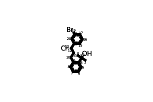 CC(C)(O)c1ccccc1CC[C@H](Cl)c1cccc(Br)c1